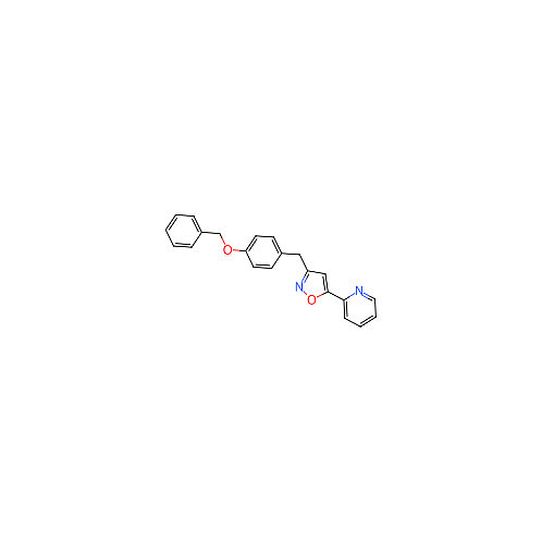 c1ccc(COc2ccc(Cc3cc(-c4ccccn4)on3)cc2)cc1